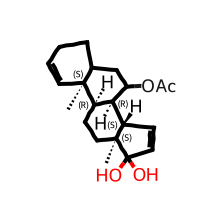 CC(=O)OC1CC2CCC=C[C@]2(C)[C@@H]2CC[C@@]3(C)[C@@H](C=CC3(O)O)[C@H]12